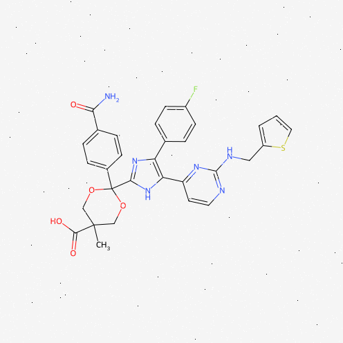 CC1(C(=O)O)COC(c2c[c]c(C(N)=O)cc2)(c2nc(-c3ccc(F)cc3)c(-c3ccnc(NCc4cccs4)n3)[nH]2)OC1